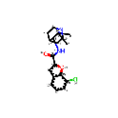 CC1(C)C(NC(=O)c2cc3cccc(Cl)c3o2)C2CCN1CC2